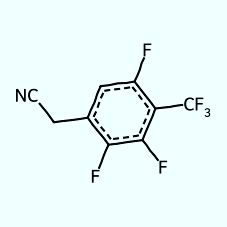 N#CCc1cc(F)c(C(F)(F)F)c(F)c1F